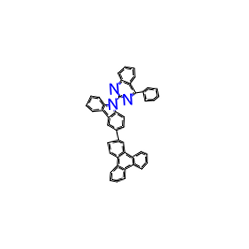 c1ccc(-c2nc(-n3c4ccccc4c4cc(-c5ccc6c7ccccc7c7ccccc7c6c5)ccc43)nc3ccccc23)cc1